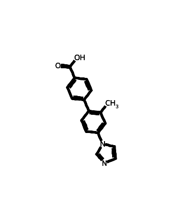 Cc1cc(-n2ccnc2)ccc1-c1ccc(C(=O)O)cc1